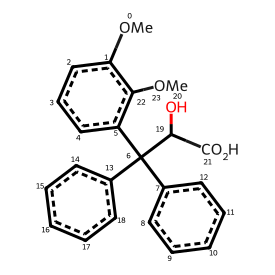 COc1cccc(C(c2ccccc2)(c2ccccc2)C(O)C(=O)O)c1OC